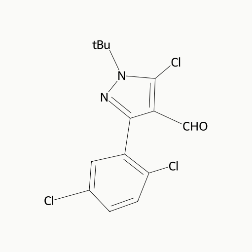 CC(C)(C)n1nc(-c2cc(Cl)ccc2Cl)c(C=O)c1Cl